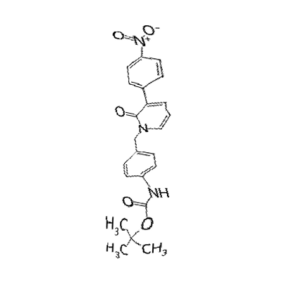 CC(C)(C)OC(=O)Nc1ccc(Cn2cccc(-c3ccc([N+](=O)[O-])cc3)c2=O)cc1